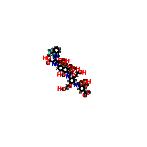 O=C(O)c1nn(-c2ccc3c(O)c(N=Nc4cc(OCCO)c(N=Nc5ccc([N+](=O)[O-])cc5S(=O)(=O)O)cc4OCCO)c(S(=O)(=O)O)cc3c2S(=O)(=O)O)c(O)c1N=Nc1ccccc1C(F)(F)F